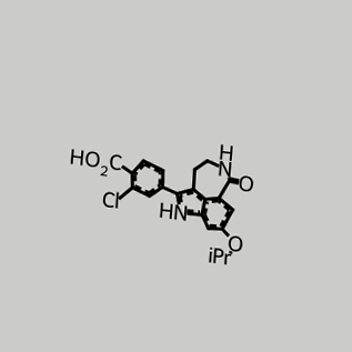 CC(C)Oc1cc2c3c(c(-c4ccc(C(=O)O)c(Cl)c4)[nH]c3c1)CCNC2=O